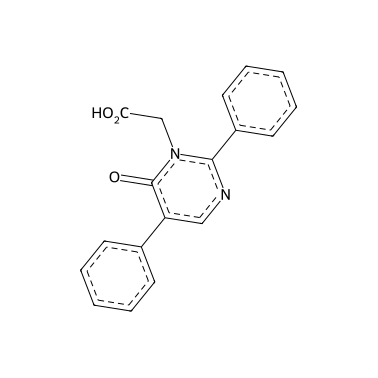 O=C(O)Cn1c(-c2ccccc2)ncc(-c2ccccc2)c1=O